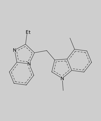 CCc1nc2ccccn2c1Cc1cn(C)c2cccc(C)c12